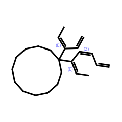 C=C/C=C\C(=C/C)C1(/C(C=C)=C/C)CCCCCCCCCCC1